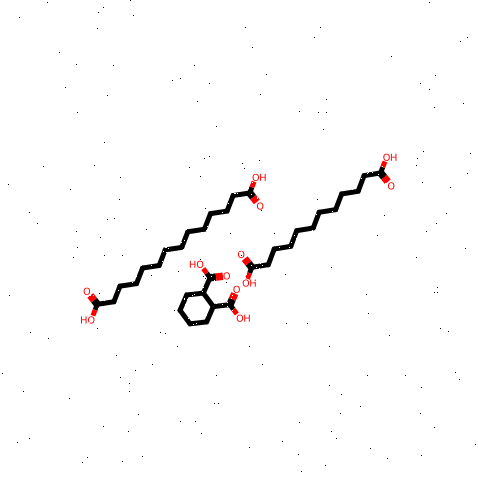 O=C(O)C1CCCCC1C(=O)O.O=C(O)CCCCCCCCCCC(=O)O.O=C(O)CCCCCCCCCCCCC(=O)O